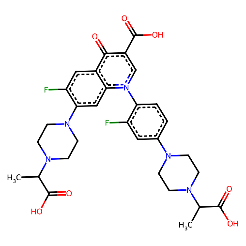 CC(C(=O)O)N1CCN(c2ccc(-n3cc(C(=O)O)c(=O)c4cc(F)c(N5CCN(C(C)C(=O)O)CC5)cc43)c(F)c2)CC1